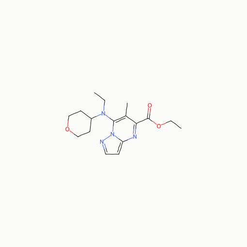 CCOC(=O)c1nc2ccnn2c(N(CC)C2CCOCC2)c1C